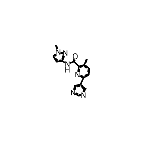 Cc1ccc(-c2cncnc2)nc1C(=O)Nc1ccn(C)n1